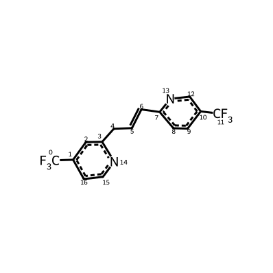 FC(F)(F)c1[c]c(CC=Cc2ccc(C(F)(F)F)cn2)ncc1